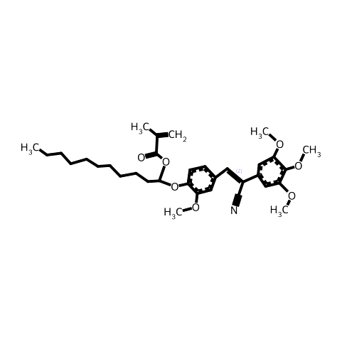 C=C(C)C(=O)OC(CCCCCCCCCC)Oc1ccc(/C=C(\C#N)c2cc(OC)c(OC)c(OC)c2)cc1OC